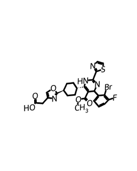 COC(=O)C1=C([C@H]2CC[C@H](c3nc(CC(=O)O)co3)CC2)NC(c2nccs2)=NC1c1cccc(F)c1Br